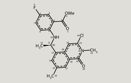 COC(=O)c1cc(F)ccc1N[C@H](C)c1cc(C)cc2c(=O)n(C)c(Cl)cc12